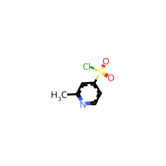 Cc1cc(S(=O)(=O)Cl)ccn1